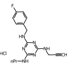 C#CCNc1nc(NCCC)nc(NCc2ccc(F)cc2)n1.Cl